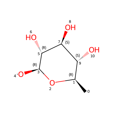 C[C@H]1O[C@@H]([O])[C@H](O)[C@@H](O)[C@@H]1O